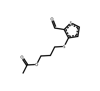 CC(=O)OCCCSc1ccsc1C=O